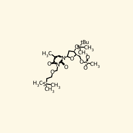 Cc1cn([C@H]2C[C@@H](O[Si](C)(C)C(C)(C)C)[C@@H](COS(C)(=O)=O)O2)c(=O)n(COCC[Si](C)(C)C)c1=O